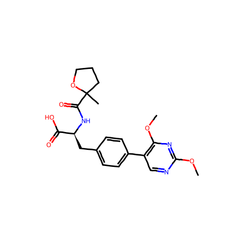 COc1ncc(-c2ccc(C[C@H](NC(=O)C3(C)CCCO3)C(=O)O)cc2)c(OC)n1